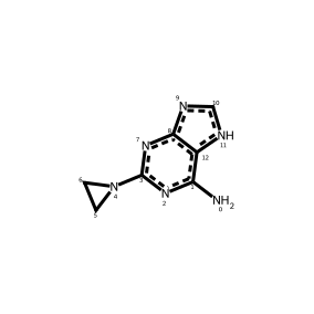 Nc1nc(N2CC2)nc2nc[nH]c12